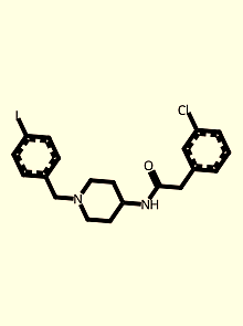 O=C(Cc1cccc(Cl)c1)NC1CCN(Cc2ccc(I)cc2)CC1